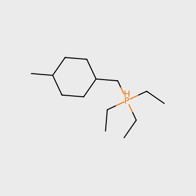 CC[PH](CC)(CC)CC1CCC(C)CC1